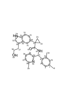 Cc1ccc(C(NC(=O)C2(c3ccc4[nH]cc(CCO)c4c3)CC2)c2cccc(C)n2)c(C)c1